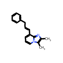 Cc1nc2c(C=CCc3ccccc3)cccn2c1C